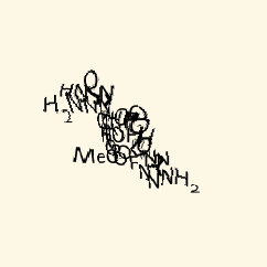 COP1(=O)OC[C@H]2O[C@@H](n3cnc4c(=O)[nH]c(N)nc43)C(O[PH](=O)OC[C@H]3O[C@@H](n4cnc5c(N)ncnc54)C(F)C3O1)C2O